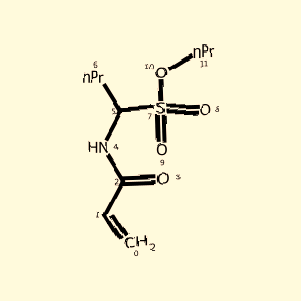 C=CC(=O)NC(CCC)S(=O)(=O)OCCC